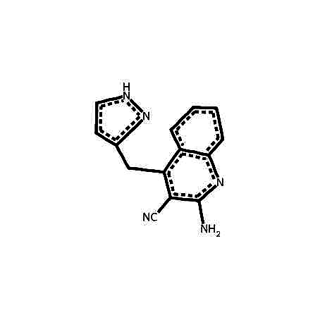 N#Cc1c(N)nc2ccccc2c1Cc1cc[nH]n1